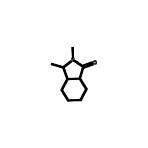 CC1C2CCCCC2C(=O)N1C